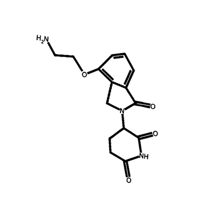 NCCOc1cccc2c1CN(C1CCC(=O)NC1=O)C2=O